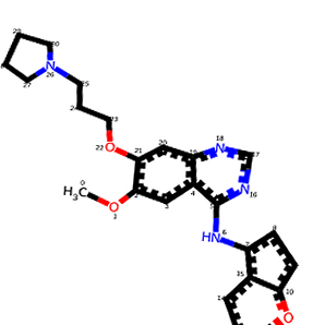 COc1cc2c(Nc3ccc4occcc3-4)ncnc2cc1OCCCN1CCCC1